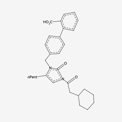 CCCCCc1cn(C(=O)CC2CCCCC2)c(=O)n1Cc1ccc(-c2ccccc2C(=O)O)cc1